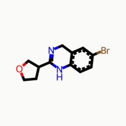 Brc1ccc2c(c1)CN=C(C1CCOC1)N2